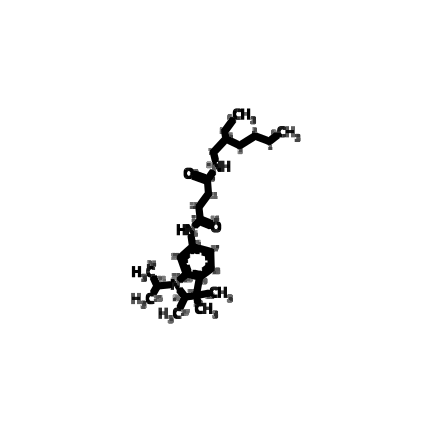 CCCCC(CC)CNC(=O)CCC(=O)Nc1ccc2c(c1)N(C(C)C)C(C)C2(C)C